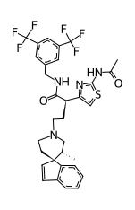 CC(=O)Nc1nc([C@@H](CCN2CC[C@@]3(C=Cc4ccccc43)[C@@H](C)C2)C(=O)NCc2cc(C(F)(F)F)cc(C(F)(F)F)c2)cs1